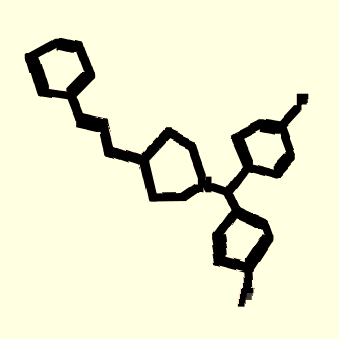 Fc1ccc(C(c2ccc(F)cc2)N2CCC(CC=Cc3ccccc3)CC2)cc1